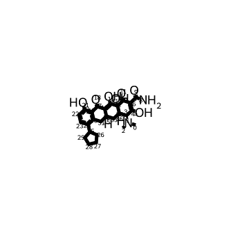 CN(C)[C@@H]1C(O)=C(C(N)=O)C(=O)[C@@]2(O)C(O)=C3C(=O)c4c(O)ccc(C5CCCC5)c4C[C@H]3C[C@@H]12